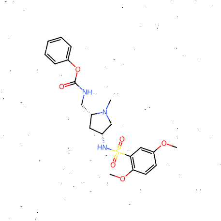 COc1ccc(OC)c(S(=O)(=O)N[C@@H]2C[C@H](CNC(=O)Oc3ccccc3)N(C)C2)c1